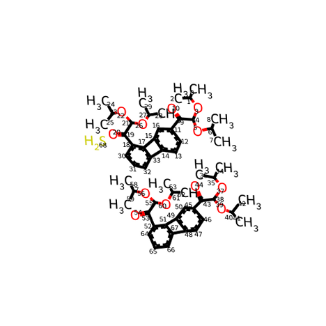 CC(C)OC(OC(C)C)C(=O)c1ccc2c(c1)-c1c(C(=O)C(OC(C)C)OC(C)C)cccc1-2.CC(C)OC(OC(C)C)C(=O)c1ccc2c(c1)-c1c(C(=O)C(OC(C)C)OC(C)C)cccc1-2.S